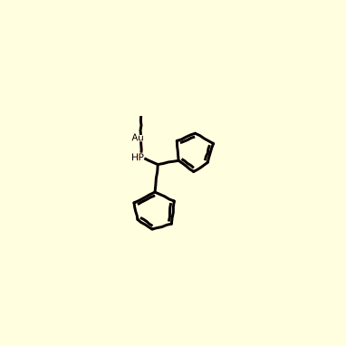 [CH3][Au][PH]C(c1ccccc1)c1ccccc1